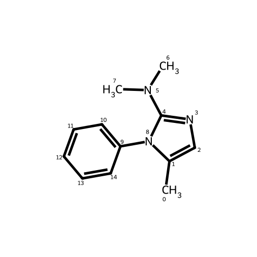 Cc1cnc(N(C)C)n1-c1ccccc1